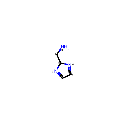 NCC1N=CC=N1